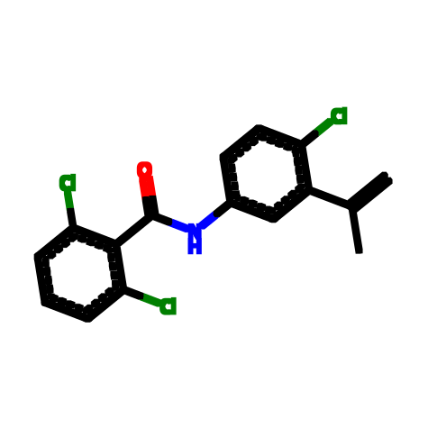 C=C(C)c1cc(NC(=O)c2c(Cl)cccc2Cl)ccc1Cl